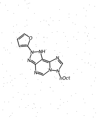 CCCCCCCCN1C=NC2=C3NN(c4ccco4)N=C3N=CN21